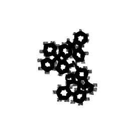 CC1(C)c2ccccc2-c2ccc(N(c3ccc4c(c3)C3(c5ccccc5-c5ccccc5-c5ccccc53)c3ccccc3-4)c3cccc4c3-c3ccccc3C4(c3ccccc3)c3ccccc3)cc21